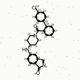 O=C1N=Cc2cc(NC3CCN(C(=O)c4ccccc4-c4ccc(Cl)cc4)CC3)ccc21